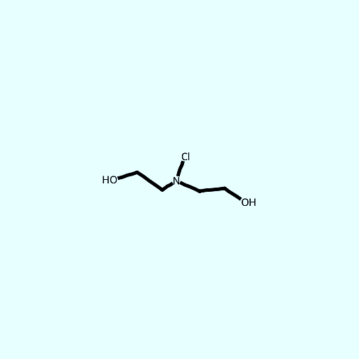 OCCN(Cl)CCO